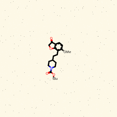 COc1ccc2c(c1CCC1CCN(C(=O)OC(C)(C)C)CC1)OCC2=O